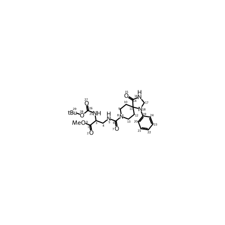 COC(=O)C(CNC(=O)N1CCC2(CC1)C(=O)NCN2c1ccccc1)NC(=O)OC(C)(C)C